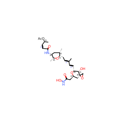 CC(=O)O[C@@H](C)/C=C\C(=O)N[C@@H]1C[C@H](C)[C@H](C/C=C(C)/C=C/[C@H]2O[C@H](CC(=O)NO)C[C@@]3(CO3)[C@H]2O)O[C@@H]1C